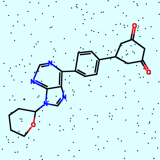 O=C1CC(=O)CC(c2ccc(-c3ncnc4c3ncn4C3CCCCO3)cc2)C1